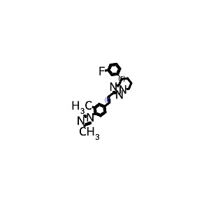 Cc1cn(-c2ccc(/C=C/c3nc4n(n3)CCC[C@H]4c3cccc(F)c3)cc2C)cn1